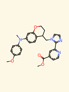 COC(=O)c1ccnc(-c2nccn2CC2CCOc3cc(N(C)c4ccc(OC)cc4)ccc32)c1